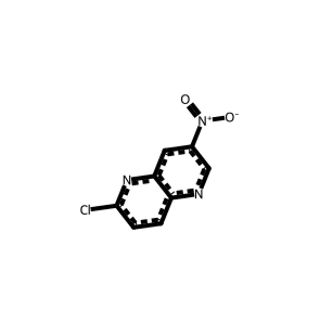 O=[N+]([O-])c1cnc2ccc(Cl)nc2c1